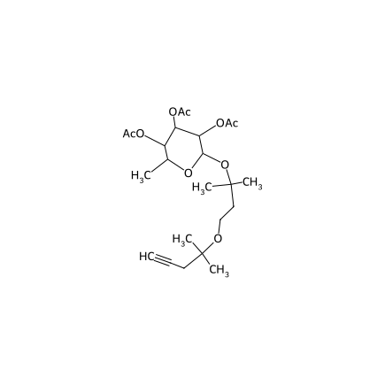 C#CCC(C)(C)OCCC(C)(C)OC1OC(C)C(OC(C)=O)C(OC(C)=O)C1OC(C)=O